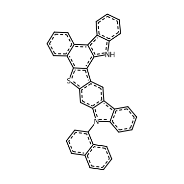 c1ccc2c(-n3c4ccccc4c4cc5c(cc43)sc3c4ccccc4c4c6ccccc6[nH]c4c53)cccc2c1